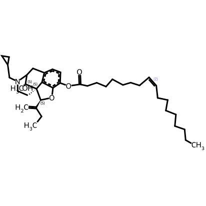 C=C(CC)[C@@H]1Oc2c(OC(=O)CCCCCCC/C=C\CCCCCCCC)ccc3c2[C@@]12CCN(CC1CC1)C(C3)[C@@]2(C)O